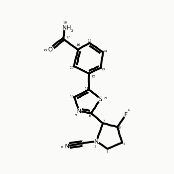 N#CN1CCC(F)C1c1ncc(-c2cccc(C(N)=O)c2)s1